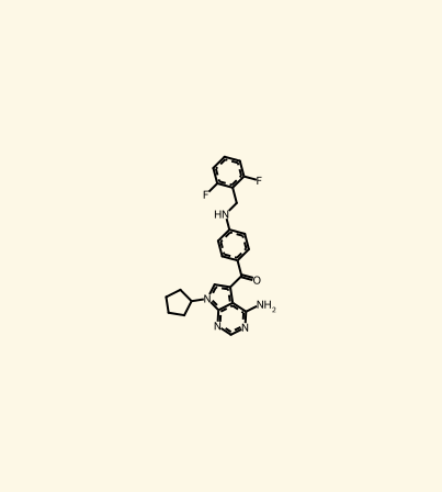 Nc1ncnc2c1c(C(=O)c1ccc(NCc3c(F)cccc3F)cc1)cn2C1CCCC1